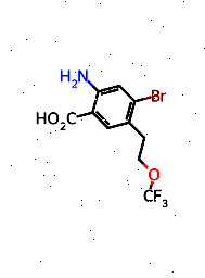 Nc1cc(Br)c(CCOC(F)(F)F)cc1C(=O)O